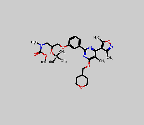 Cc1noc(C)c1-c1nc(-c2cccc(OCC(CN(C)C(=O)OC(C)(C)C)O[Si](C)(C)C(C)(C)C)c2)nc(OCC2CCOCC2)c1C